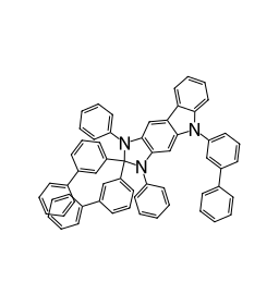 c1ccc(-c2cccc(-n3c4ccccc4c4cc5c(cc43)N(c3ccccc3)C(c3cccc(-c4ccccc4)c3)(c3cccc(-c4ccccc4)c3)N5c3ccccc3)c2)cc1